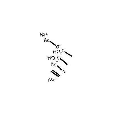 C=C.CC(=O)O.CC(=O)O.CC(=O)[O-].CC(=O)[O-].[Na+].[Na+]